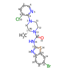 C[C@@H]1CN(c2ncccc2Cl)CCN1C(=O)Nc1nc2ccc(Br)cc2s1